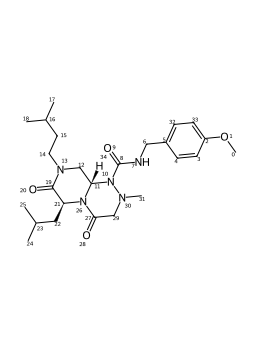 COc1ccc(CNC(=O)N2[C@H]3CN(CCC(C)C)C(=O)[C@H](CC(C)C)N3C(=O)CN2C)cc1